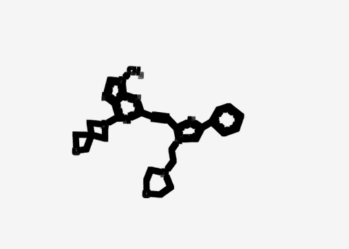 Cn1cnc2c(N3CC4(COC4)C3)nc(C#Cc3nc(-c4ccccc4)cn3CCN3CCOCC3)nc21